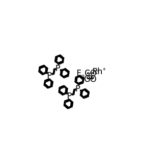 O=S(=O)([O-])C(F)(F)F.[Rh+].c1ccc(P(CCP(c2ccccc2)c2ccccc2)c2ccccc2)cc1.c1ccc(P(CCP(c2ccccc2)c2ccccc2)c2ccccc2)cc1